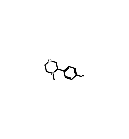 CN1CCOCC1c1ccc(F)cc1